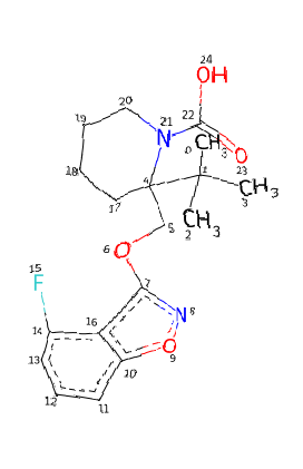 CC(C)(C)C1(COc2noc3cccc(F)c23)CCCCN1C(=O)O